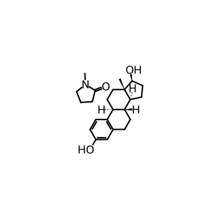 CN1CCCC1=O.C[C@]12CC[C@@H]3c4ccc(O)cc4CC[C@H]3[C@@H]1CC[C@@H]2O